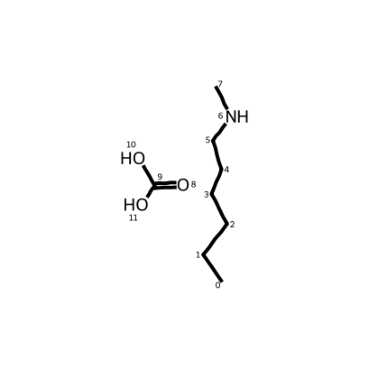 CCCCCCNC.O=C(O)O